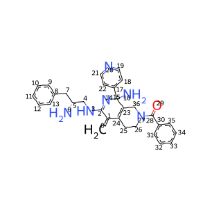 C=C1C(NC[C@H](N)Cc2ccccc2)=NC(N)(c2ccncc2)C2=C1CCN(C(=O)c1ccccc1)C2